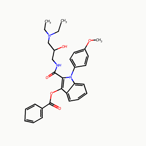 CCN(CC)CC(O)CNC(=O)c1c(OC(=O)c2ccccc2)c2ccccc2n1-c1ccc(OC)cc1